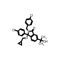 CC(C)(O)c1ccc2c(c1)C(=O)N(Cc1ccc(Cl)cc1)[C@@]2(OCC1CC1)c1ccc(Cl)cc1